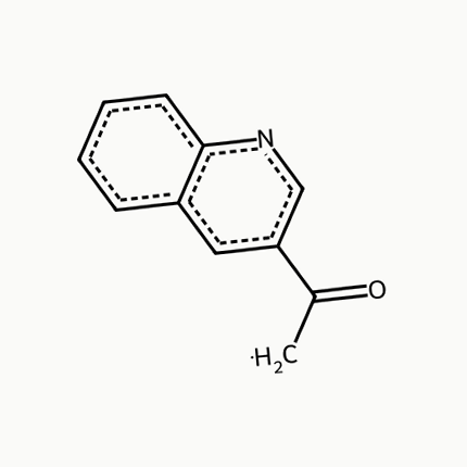 [CH2]C(=O)c1cnc2ccccc2c1